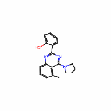 Cc1cccc2nc(-c3ccccc3O)nc(N3CCCC3)c12